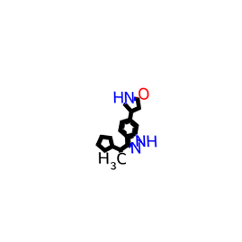 CC(c1n[nH]c2cc(C3CNC(=O)C3)ccc12)C1CCCC1